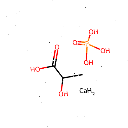 CC(O)C(=O)O.O=P(O)(O)O.[CaH2]